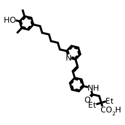 CCC(CC)(CC(=O)Nc1cccc(C=Cc2cccc(CCCCCCc3cc(C)c(O)c(C)c3)n2)c1)C(=O)O